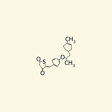 CC1=CCC(CC(C)Oc2ccc(/C=C3\SC(=O)CC3=O)cc2)CC1